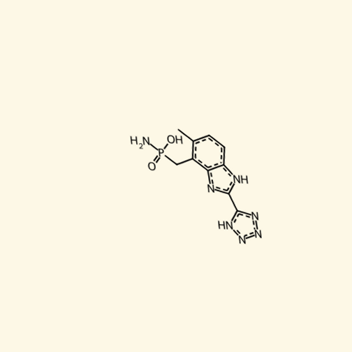 Cc1ccc2[nH]c(-c3nnn[nH]3)nc2c1CP(N)(=O)O